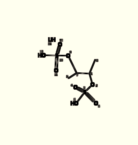 CC(OS(=O)(=O)O)C(C)OS(=O)(=O)O.[LiH]